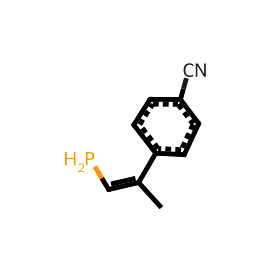 C/C(=C/P)c1ccc(C#N)cc1